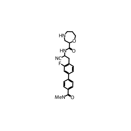 CNC(=O)c1ccc(-c2ccc(CC(C#N)NC(=O)C3CNCCCO3)c(F)c2)cc1